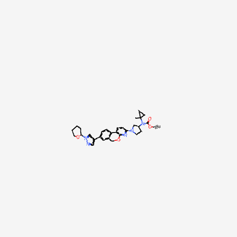 CC(C)(C)OC(=O)N(C1CCN(c2ccc3c(n2)OCc2cc(-c4cnn(C5CCCCO5)c4)ccc2-3)C1)C1(C)CC1